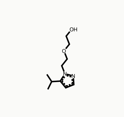 CC(C)c1ccnn1CCOCCO